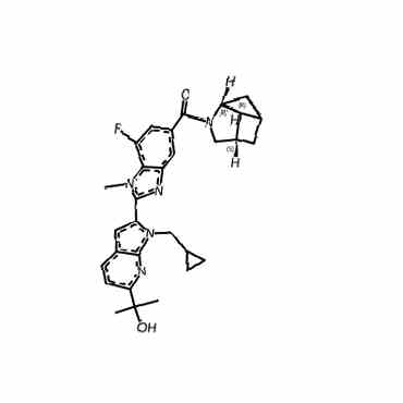 Cn1c(-c2cc3ccc(C(C)(C)O)nc3n2CC2CC2)nc2cc(C(=O)N3C[C@H]4CC5C[C@@H]3[C@H]54)cc(F)c21